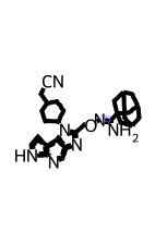 N#CCC1CCC(n2c(CO/N=C(\N)C34CC5CC(CC(C5)C3)C4)nc3cnc4[nH]ccc4c32)CC1